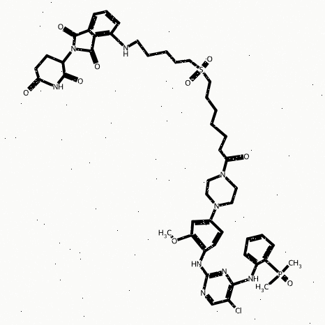 COc1cc(N2CCN(C(=O)CCCCCCS(=O)(=O)CCCCCNc3cccc4c3C(=O)N(C3CCC(=O)NC3=O)C4=O)CC2)ccc1Nc1ncc(Cl)c(Nc2ccccc2P(C)(C)=O)n1